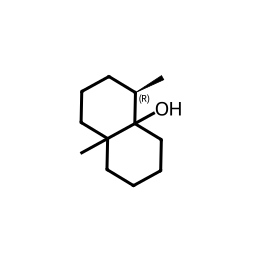 C[C@@H]1CCCC2(C)CCCCC12O